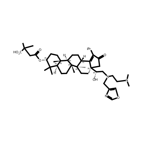 CC(C)C1=C2[C@H]3CC[C@@H]4[C@@]5(C)CC[C@@H](OC(=O)CC(C)(C)C(=O)O)C(C)(C)[C@@H]5CC[C@@]4(C)[C@]3(C)CC[C@@]2([C@@H](O)CN(CCN(C)C)Cc2cocn2)CC1=O